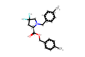 O=C(OCc1ccc(C(F)(F)F)cc1)[C@H]1CC(F)(F)CN1Cc1ccc(C(F)(F)F)cc1